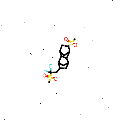 CS(=O)(=O)C1CC2CC1C1C3CC(CC(F)(F)S(C)(=O)=O)C(C3)C21